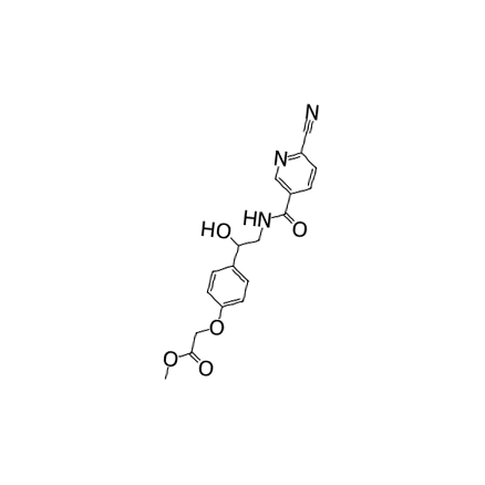 COC(=O)COc1ccc(C(O)CNC(=O)c2ccc(C#N)nc2)cc1